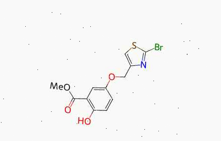 COC(=O)c1cc(OCc2csc(Br)n2)ccc1O